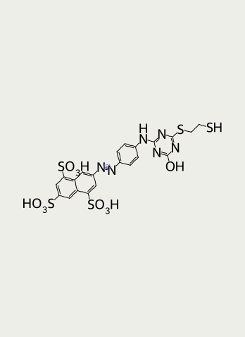 O=S(=O)(O)c1cc(S(=O)(=O)O)c2cc(/N=N/c3ccc(Nc4nc(O)nc(SCCS)n4)cc3)cc(S(=O)(=O)O)c2c1